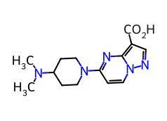 CN(C)C1CCN(c2ccn3ncc(C(=O)O)c3n2)CC1